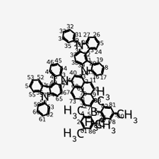 Cc1cc(C)c(B(C2=CC3C=CC4C(n5c6ccccc6c6c7c8ccccc8n(-c8ccccc8)c7ccc65)=CC(n5c6ccccc6c6c7c8ccccc8n(-c8ccccc8)c7ccc65)C5=C4C3C(=C2)C=C5)c2c(C)cc(C)cc2C)c(C)c1